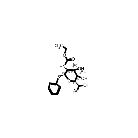 CC(=O)C(O)[C@H]1O[C@@H](Sc2ccccc2)[C@@H](NC(=O)OCC(Cl)(Cl)Cl)[C@](O)(C(C)=O)[C@]1(O)C(C)=O